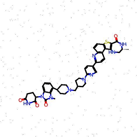 C[C@@H]1CNc2c(sc3ccc4nc(-c5ccc(N6CCC(CN7CCC(c8cccc9c8n(C)c(=O)n9C8CCC(=O)NC8=O)CC7)CC6)nc5)ccc4c23)C(=O)N1